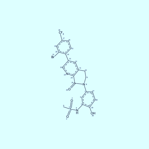 CS(=O)(=O)Nc1cc(N2CCc3cc(-c4ccc(C(F)(F)F)cc4Br)cnc3C2=O)ccc1O